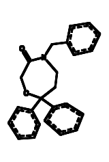 O=C1COC(c2ccccc2)(c2ccccc2)CCN1Cc1ccccc1